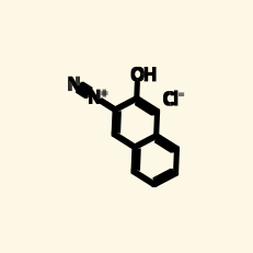 N#[N+]c1cc2ccccc2cc1O.[Cl-]